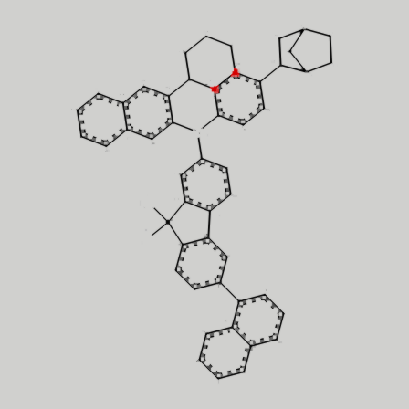 CC1(C)c2ccc(-c3cccc4ccccc34)cc2-c2ccc(N(c3ccc(C4CC5CCC4C5)cc3)c3cc4ccccc4cc3C3CCCCC3)cc21